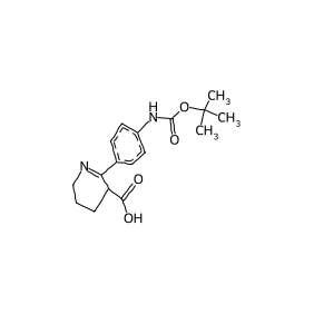 CC(C)(C)OC(=O)Nc1ccc(C2=NCCCC2C(=O)O)cc1